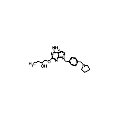 CCC(O)COc1nc(N)c2ccn(Cc3ccc(CN4CCCC4)cc3)c2n1